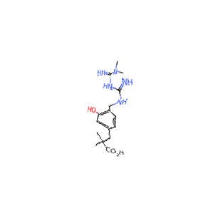 CN(C)C(=N)NC(=N)NCc1ccc(CC(C)(C)C(=O)O)cc1O